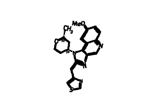 COc1ccc2ncc3nc(Cc4cscn4)n([C@@H]4CCO[C@H](C)C4)c3c2c1